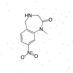 CN1C(=O)CNCc2ccc([N+](=O)[O-])cc21